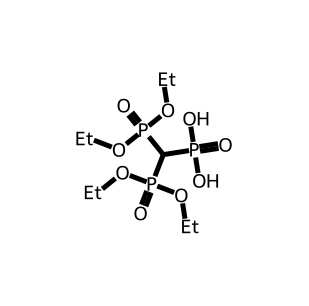 CCOP(=O)(OCC)C(P(=O)(O)O)P(=O)(OCC)OCC